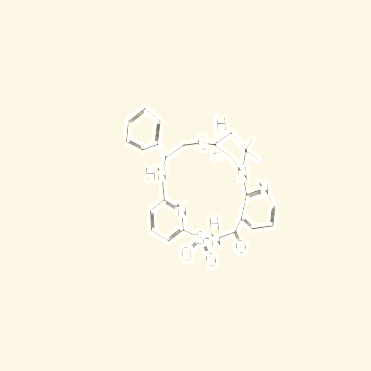 CC1(C)C[C@@H]2CCC(c3ccccc3)Nc3cccc(n3)S(=O)(=O)NC(=O)c3cccnc3N1C2